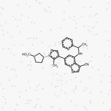 Cc1c(-c2cc(NC(C)c3ccccn3)c3c(C#N)cnn3c2)cnn1[C@@H]1CCN(C(=O)O)C1